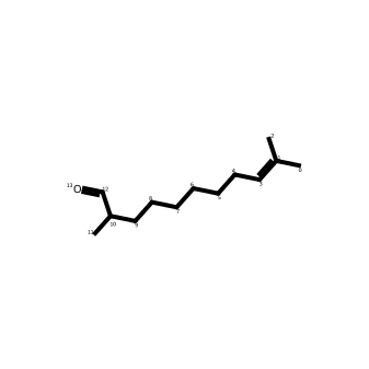 CC(C)=CCCCCCCC(C)C=O